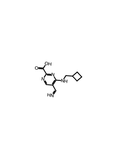 N=Cc1cnc(C(=O)O)nc1NCC1CCC1